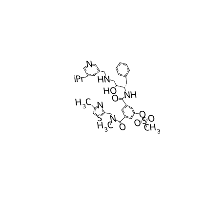 Cc1csc(CN(C)C(=O)c2cc(OS(C)(=O)=O)cc(C(=O)N[C@@H](Cc3ccccc3)[C@@H](O)CNCc3cncc(C(C)C)c3)c2)n1